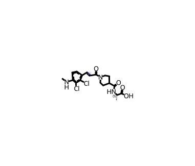 CNc1ccc(/C=C/C(=O)N2CCC(C(=O)N[C@@H](C)C(=O)O)CC2)c(Cl)c1Cl